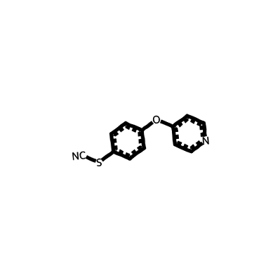 N#CSc1ccc(Oc2ccncc2)cc1